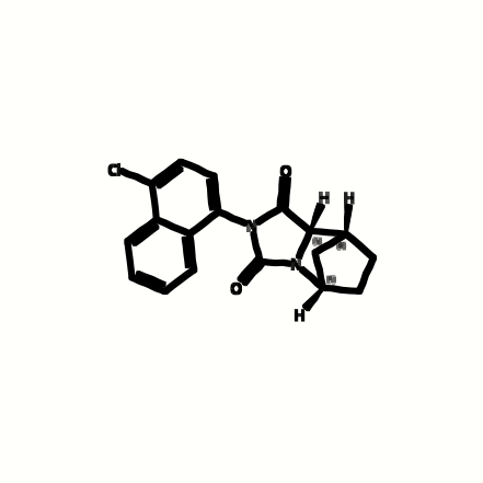 O=C1[C@@H]2[C@@H]3CC[C@@H](C3)N2C(=O)N1c1ccc(Cl)c2ccccc12